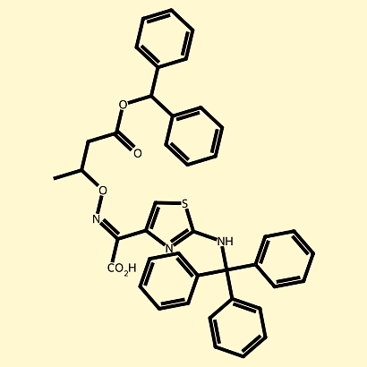 CC(CC(=O)OC(c1ccccc1)c1ccccc1)ON=C(C(=O)O)c1csc(NC(c2ccccc2)(c2ccccc2)c2ccccc2)n1